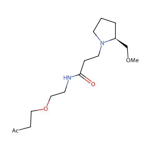 COC[C@@H]1CCCN1CCC(=O)NCCOCCC(C)=O